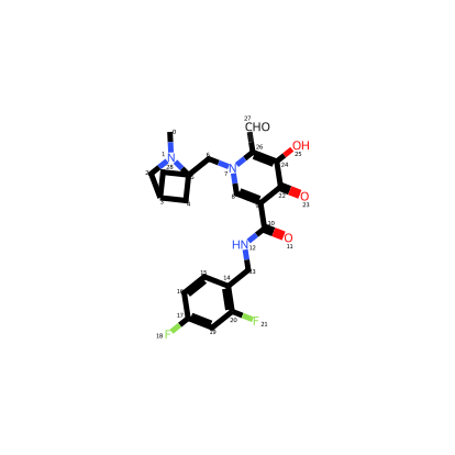 CN1CC2CC1(Cn1cc(C(=O)NCc3ccc(F)cc3F)c(=O)c(O)c1C=O)C2